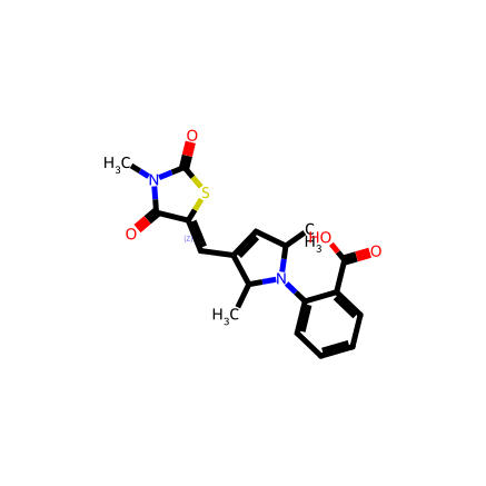 CC1C=C(/C=C2\SC(=O)N(C)C2=O)C(C)N1c1ccccc1C(=O)O